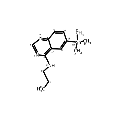 CCCNc1ncnc2cc[c]([Sn]([CH3])([CH3])[CH3])cc12